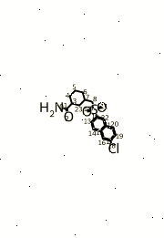 NC(=O)C1CCCC(CS(=O)(=O)c2ccc3cc(Cl)ccc3c2)C1